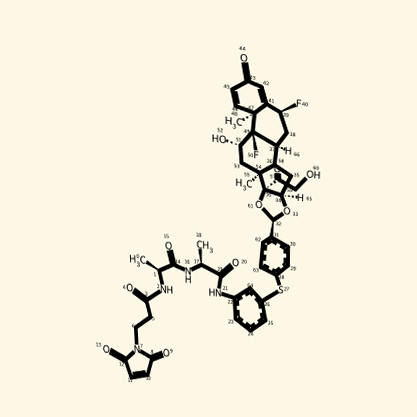 C[C@H](NC(=O)CCN1C(=O)C=CC1=O)C(=O)N[C@@H](C)C(=O)Nc1cccc(Sc2ccc([C@@H]3O[C@@H]4CC5[C@@H]6C[C@H](F)C7=CC(=O)C=C[C@]7(C)[C@@]6(F)[C@@H](O)C[C@]5(C)[C@]4(C(=O)CO)O3)cc2)c1